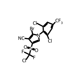 N#Cc1c(S(=O)(=O)C(F)(F)Cl)cn(-c2c(Cl)cc(C(F)(F)F)cc2Cl)c1Br